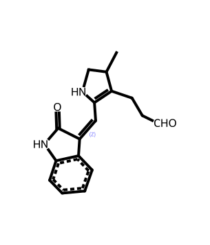 CC1CNC(/C=C2\C(=O)Nc3ccccc32)=C1CCC=O